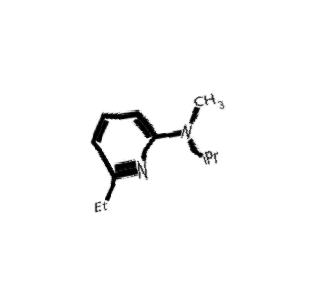 CCc1cccc(N(C)C(C)C)n1